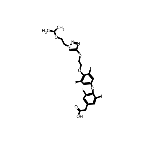 CC(C)OCCn1cc(SCCOc2c(I)cc(Oc3c(I)cc(CC(=O)O)cc3I)cc2I)nn1